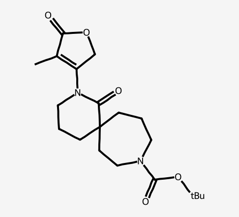 CC1=C(N2CCCC3(CCCN(C(=O)OC(C)(C)C)CC3)C2=O)COC1=O